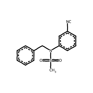 [C-]#[N+]c1cccc(N(Cc2ccccc2)S(C)(=O)=O)c1